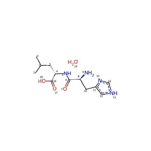 CC(C)C[C@H](NC(=O)[C@@H](N)Cc1c[nH]cn1)C(=O)O.O